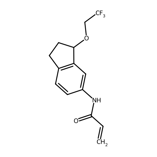 C=CC(=O)Nc1ccc2c(c1)C(OCC(F)(F)F)CC2